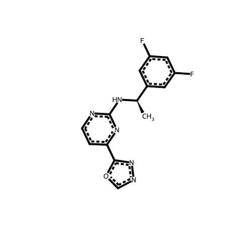 C[C@@H](Nc1nccc(-c2nnco2)n1)c1cc(F)cc(F)c1